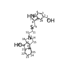 OCc1ccc2[nH]cc(CSCCN3CCC4=C(C3)C(O)c3ccccc34)c2c1